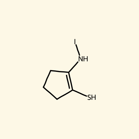 SC1=C(NI)CCC1